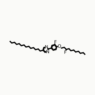 CCCCCCCCCCCCCCc1cnc(-c2ccc(OCCC(F)CCCCCCCC)c(F)c2)nc1